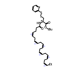 CC/C=C\C/C=C\C/C=C\C/C=C\C/C=C\C/C=C\CCC(=O)N[C@@H](CSSc1ccccn1)C(=O)OC(C)(C)C